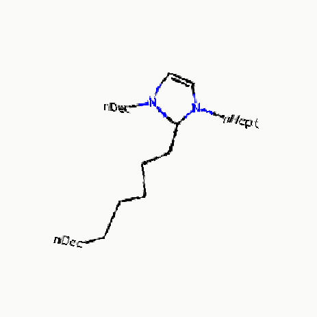 CCCCCCCCCCCCCCCC1N(CCCCCCC)C=CN1CCCCCCCCCC